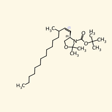 CCCCCCCCCCCCC(C)/C=C\[C@@H]1COC(C)(C)N1C(=O)OC(C)(C)C